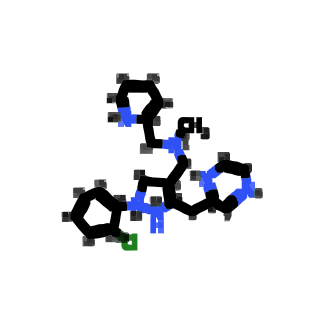 CN(CC1=C(Cc2cnccn2)NN(c2ccccc2Cl)C1)Cc1ccccn1